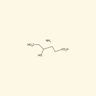 N.O=C(O)CCC(O)CC(=O)O